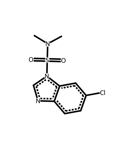 CN(C)S(=O)(=O)n1cnc2ccc(Cl)cc21